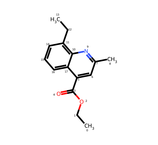 CCOC(=O)c1cc(C)nc2c(CC)cccc12